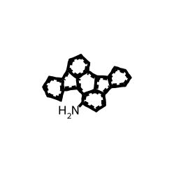 Nc1ccc2c3ccccc3c3c4cccc5c6ccccc6c(c1c23)c54